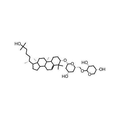 C[C@H](CCCC(C)(C)O)C1CCC2C3CC=C4C(CC[C@H](O[C@H]5C[C@@H](O)C[C@@H](COC6OC[C@@H](O)C[C@H]6O)O5)C4(C)C)[C@]3(C)CC[C@@]21C